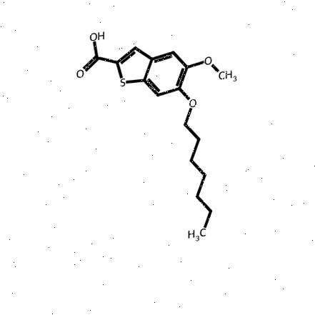 CCCCCCCOc1cc2sc(C(=O)O)cc2cc1OC